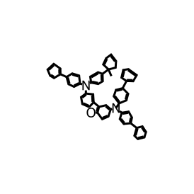 CC1(c2ccc(N(c3ccc(-c4ccccc4)cc3)c3ccc4oc5ccc(N(c6ccc(-c7ccccc7)cc6)c6ccc(-c7ccccc7)cc6)cc5c4c3)cc2)C=CC=CC1